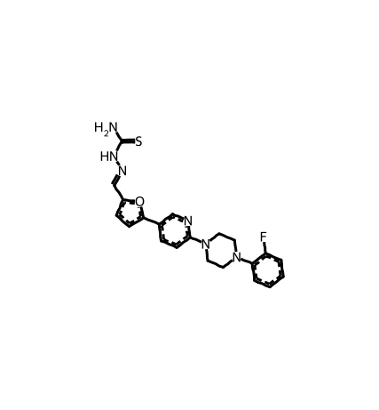 NC(=S)NN=Cc1ccc(-c2ccc(N3CCN(c4ccccc4F)CC3)nc2)o1